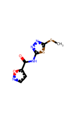 CSc1nnc(NC(=O)c2ccno2)s1